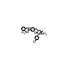 CC(C)(N)CN(Cc1ccc(C(=O)Nc2ccccc2N)cc1)C(=O)Nc1ccc(Cl)cc1